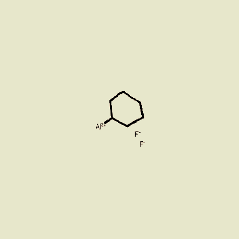 [Al+2][CH]1CCCCC1.[F-].[F-]